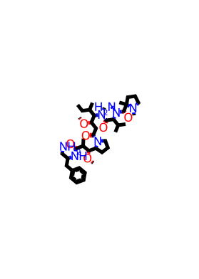 CCC(C)C(C(CC(=O)N1CCCC1C(OC)C(C)C(=O)NC(CN)Cc1ccccc1)OC)N(C)C(=O)C(C(C)C)N(N)C(=O)C1(C)CCCN1C